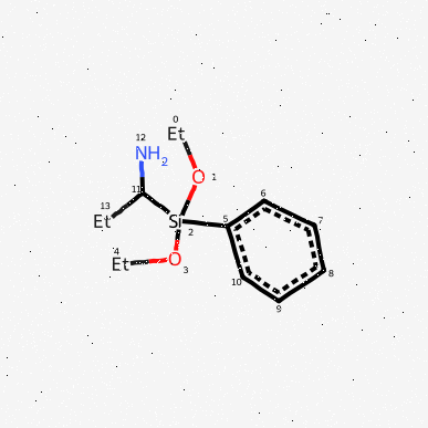 CCO[Si](OCC)(c1ccccc1)C(N)CC